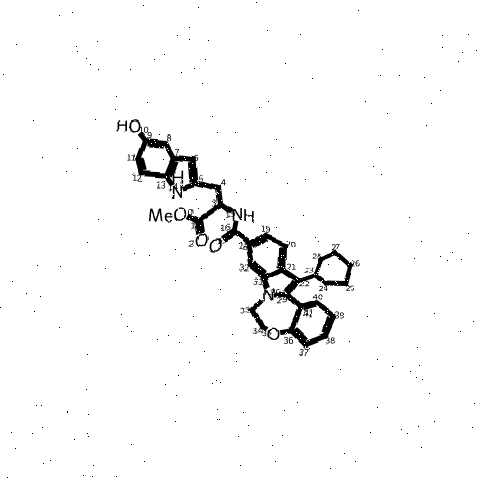 COC(=O)C(Cc1cc2cc(O)ccc2[nH]1)NC(=O)c1ccc2c(C3CCCCC3)c3n(c2c1)CCOc1ccccc1-3